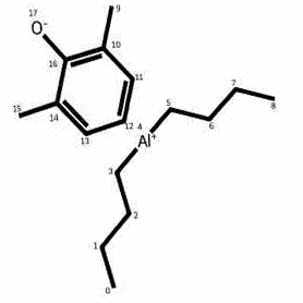 CCC[CH2][Al+][CH2]CCC.Cc1cccc(C)c1[O-]